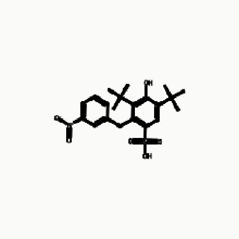 CC(C)(C)c1cc(S(=O)(=O)O)c(Cc2cccc([N+](=O)[O-])c2)c(C(C)(C)C)c1O